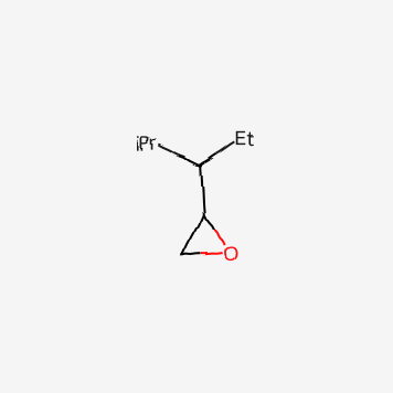 CCC(C(C)C)C1CO1